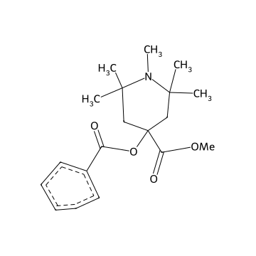 COC(=O)C1(OC(=O)c2ccccc2)CC(C)(C)N(C)C(C)(C)C1